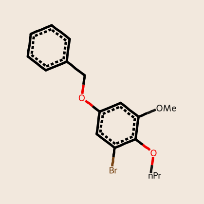 CCCOc1c(Br)cc(OCc2ccccc2)cc1OC